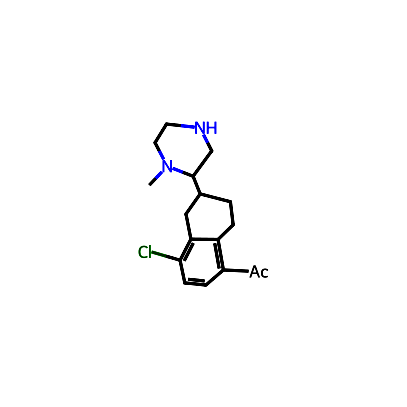 CC(=O)c1ccc(Cl)c2c1CCC(C1CNCCN1C)C2